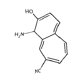 N#CC1=CC=CC2=CC=C(O)C(N)C2=C1